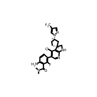 CN(C)C(=O)c1c(N)ccc(-c2cnc3c(c2Cl)[C@]2(CC[C@H](n4cc(C(F)(F)F)cn4)C2)CN3)c1F